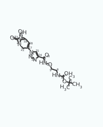 CC(C)(C)OC(=O)NCCONC(=O)c1cn(C2=CC3CN(C2)C(=O)N3O)nn1